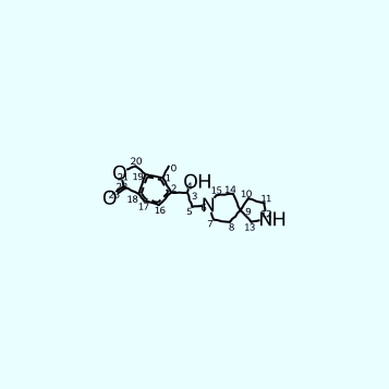 Cc1c(C(O)CN2CCC3(CCNC3)CC2)ccc2c1COC2=O